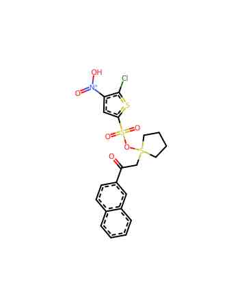 O=C(CS1(OS(=O)(=O)c2cc([N+](=O)O)c(Cl)s2)CCCC1)c1ccc2ccccc2c1